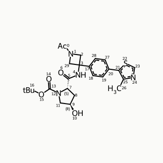 CC(=O)N1CC(NC(=O)[C@@H]2C[C@@H](O)CN2C(=O)OC(C)(C)C)(c2ccc(-c3scnc3C)cc2)C1